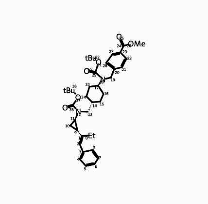 CC/C(=C\c1ccccc1)[C@@H]1C[C@H]1N(C[C@H]1CC[C@H](N(Cc2ccc(C(=O)OC)cc2)C(=O)OC(C)(C)C)CC1)C(=O)OC(C)(C)C